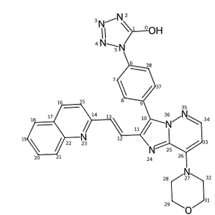 Oc1nnnn1-c1ccc(-c2c(C=Cc3ccc4ccccc4n3)nc3c(N4CCOCC4)ccnn23)cc1